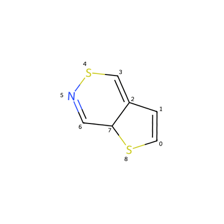 C1=CC2=CSN=CC2S1